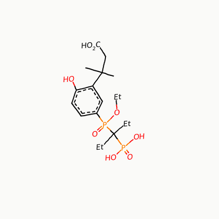 CCOP(=O)(c1ccc(O)c(C(C)(C)CC(=O)O)c1)C(CC)(CC)P(=O)(O)O